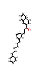 O=C(C=Cc1cccc(CCCCCCc2ccccc2)c1)c1ccc2ccccc2c1